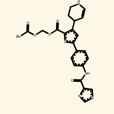 CC(C)(C)C(=O)OCOC(=O)c1sc(-c2ccc(NC(=O)c3cscn3)cc2)cc1C1C=CNCC1